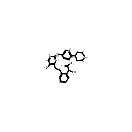 CC(C(N)=O)c1ccccc1CCc1nc(Nc2ccc(C3CCNCC3)nc2)ncc1C(F)(F)F